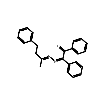 CC(CCc1ccccc1)=NN=C(C(=O)c1ccccc1)c1ccccc1